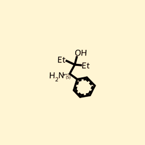 CCC(O)(CC)[C@@H](N)c1ccccc1